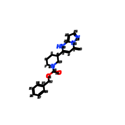 C=C1C=C(C2CCCN(C(=O)OCc3ccccc3)C2)Nc2ccnn21